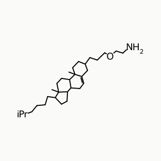 CC(C)CCCCC1CCC2C3CC=C4CC(CCCOCCN)CCC4(C)C3CCC12C